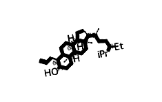 C=CC[C@H]1C2CC[C@H]3[C@@H]4CC[C@H]([C@H](C)CC[C@@H](CC)C(C)C)[C@@]4(C)CC[C@@H]3[C@@]2(C)CC[C@H]1O